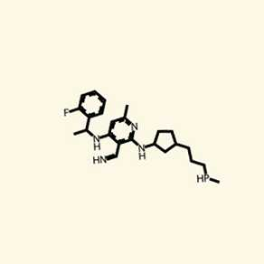 CPCCCC1CCC(Nc2nc(C)cc(NC(C)c3ccccc3F)c2C=N)C1